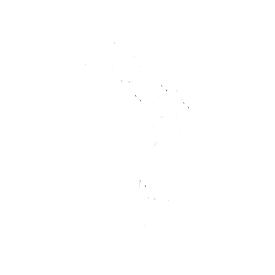 CC(C)(C)OC(=O)N1CCC[C@@H](c2ccc3ncnc(Nc4ccc(Cl)c(Cl)c4F)c3c2)C1